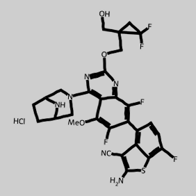 COc1c(F)c(-c2ccc(F)c3sc(N)c(C#N)c23)c(F)c2nc(OCC3(CO)CC3(F)F)nc(N3CC4CCC(C3)N4)c12.Cl